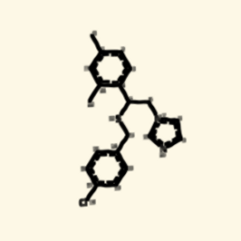 Cc1ccc(C(Cn2ccnc2)SCc2ccc(Cl)cc2)c(C)c1